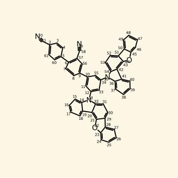 N#Cc1ccc(-c2ccc(-c3cc(-n4c5ccccc5c5c6oc7ccccc7c6ccc54)cc(-n4c5ccccc5c5c6oc7ccccc7c6ccc54)c3)cc2C#N)cc1